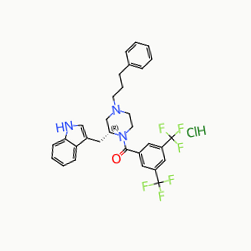 Cl.O=C(c1cc(C(F)(F)F)cc(C(F)(F)F)c1)N1CCN(CCCc2ccccc2)C[C@H]1Cc1c[nH]c2ccccc12